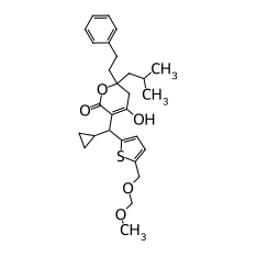 COCOCc1ccc(C(C2=C(O)CC(CCc3ccccc3)(CC(C)C)OC2=O)C2CC2)s1